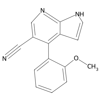 COc1ccccc1-c1c(C#N)cnc2[nH]ccc12